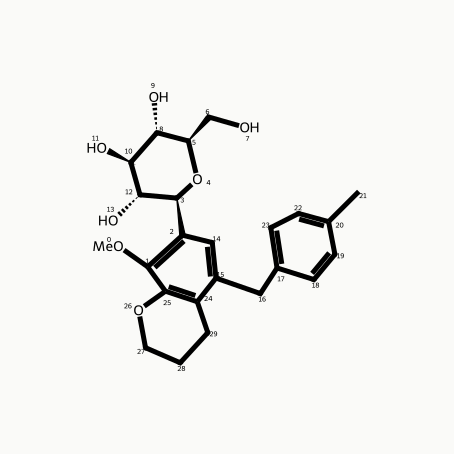 COc1c([C@@H]2O[C@H](CO)[C@@H](O)[C@H](O)[C@H]2O)cc(Cc2ccc(C)cc2)c2c1OCCC2